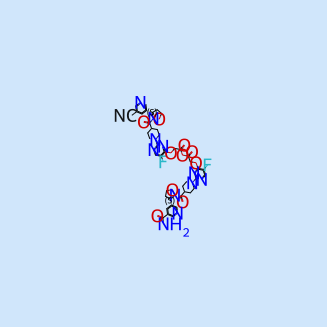 N#Cc1cncc([C@@H]2CCON2C(=O)C2CCN(c3ncc(F)c(OCC(=O)OC(=O)COc4nc(N5CCC(C(=O)N6OCC[C@H]6c6cncc(C(N)=O)c6)CC5)ncc4F)n3)CC2)c1